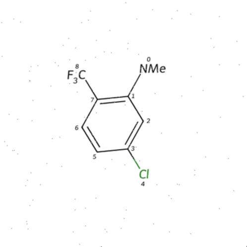 CNc1cc(Cl)ccc1C(F)(F)F